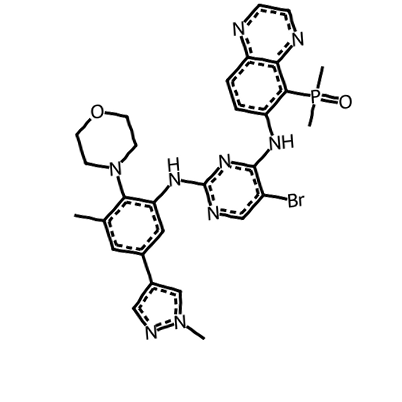 Cc1cc(-c2cnn(C)c2)cc(Nc2ncc(Br)c(Nc3ccc4nccnc4c3P(C)(C)=O)n2)c1N1CCOCC1